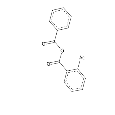 CC(=O)c1ccccc1C(=O)OC(=O)c1ccccc1